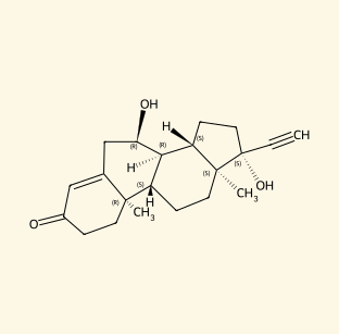 C#C[C@]1(O)CC[C@H]2[C@@H]3[C@H](O)CC4=CC(=O)CC[C@]4(C)[C@H]3CC[C@@]21C